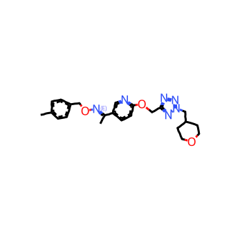 C/C(=N\OCc1ccc(C)cc1)c1ccc(OCc2nnn(CC3CCOCC3)n2)nc1